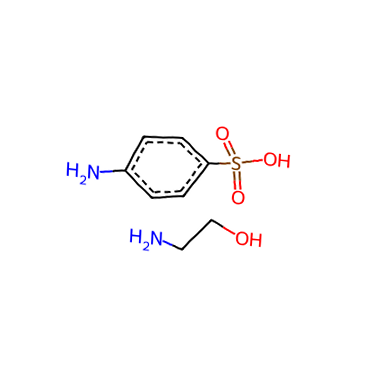 NCCO.Nc1ccc(S(=O)(=O)O)cc1